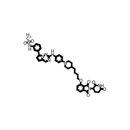 CS(=O)(=O)Nc1cccc(-c2ccc3cnc(Nc4ccc(N5CCC(CCCCOc6cccc7c6C(=O)N(C6CCC(=O)NC6=O)C7=O)CC5)cc4)nn23)c1